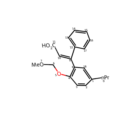 CCCc1ccc(OCOC)c(C(=CC(=O)O)c2ccccc2)c1